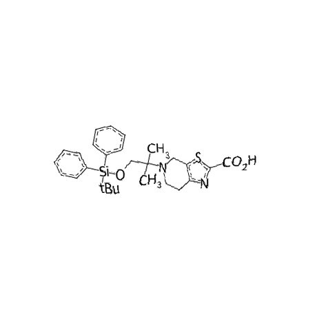 CC(C)(CO[Si](c1ccccc1)(c1ccccc1)C(C)(C)C)N1CCc2nc(C(=O)O)sc2C1